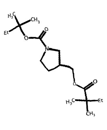 CCC(C)(C)OC(=O)N1CCC(COC(=O)C(C)(C)CC)C1